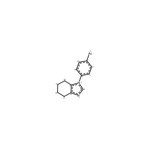 CC(=O)c1ccc(-n2cnc3c2CCCC3)cc1